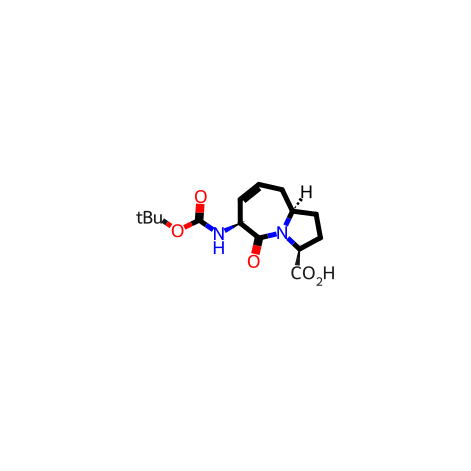 CC(C)(C)OC(=O)N[C@H]1C=CC[C@H]2CC[C@@H](C(=O)O)N2C1=O